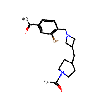 COC(=O)c1ccc(CN2CC(CC3CCN(C(=O)C(F)(F)F)CC3)C2)c(Br)c1